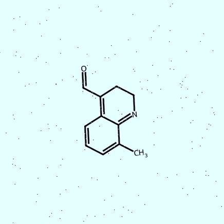 Cc1cccc2c1=NCCC=2C=O